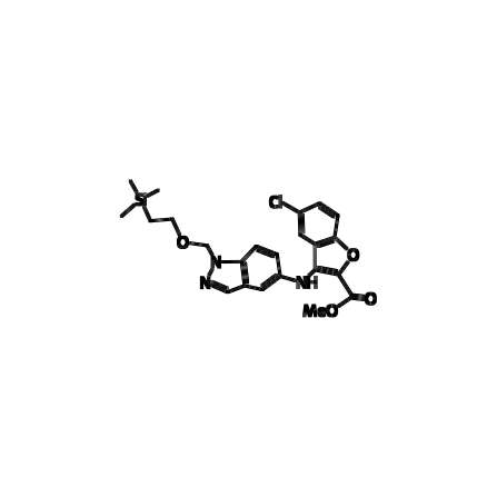 COC(=O)c1oc2ccc(Cl)cc2c1Nc1ccc2c(cnn2COCC[Si](C)(C)C)c1